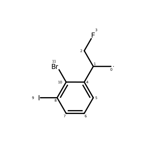 [CH2]C(CF)c1cccc(I)c1Br